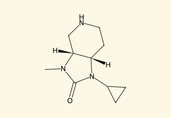 CN1C(=O)N(C2CC2)[C@H]2CCNC[C@H]21